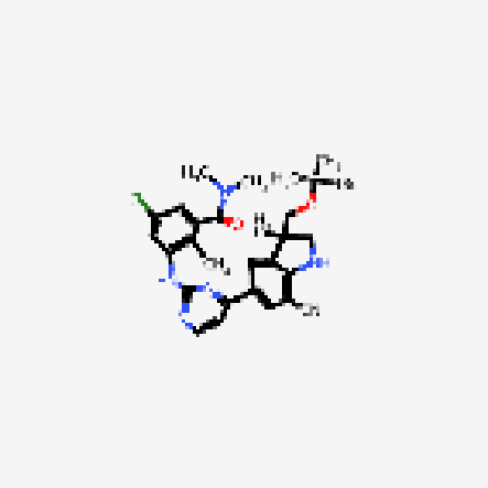 Cc1c(Nc2nccc(-c3cc(C#N)c4c(c3)C(C)(CO[Si](C)(C)C(C)(C)C)CN4)n2)cc(Cl)cc1C(=O)N(C)C